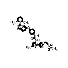 C[C@@H]1CCC[C@H](C)N1c1nnc2ccc(OC3CCC(NC(=O)Nc4cc(C(C)(C)C)nn4-c4cnn(CCOS(C)(=O)=O)c4)CC3)cn12